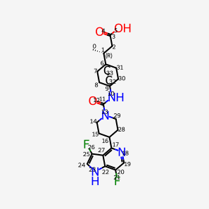 C[C@H](CC(=O)O)C12CCC(NC(=O)N3CCC(c4ncc(F)c5[nH]cc(F)c45)CC3)(CC1)CC2